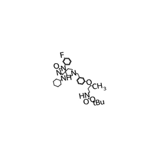 CC(CCNC(=O)OC(C)(C)C)Oc1cccc(CN2CCC3(CC2)C(NC2CCCCC2)=NC(=O)N3c2cccc(F)c2)c1